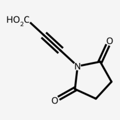 O=C(O)C#CN1C(=O)CCC1=O